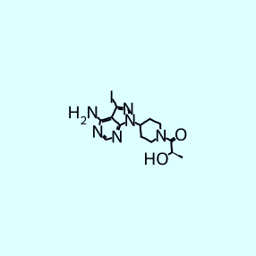 C[C@@H](O)C(=O)N1CCC(n2nc(I)c3c(N)ncnc32)CC1